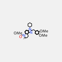 COC(=O)N1c2ccc3c(nc(Cc4ccc(OC)c(OC)c4)n3C3CCCCC3)c2CC[C@@H]1C